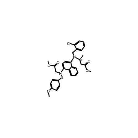 COC(=O)C[C@H](C)N(Cc1ccccc1Cl)c1ccc(N(CC(=O)OC)Sc2ccc(OC)cc2)c2ccccc12